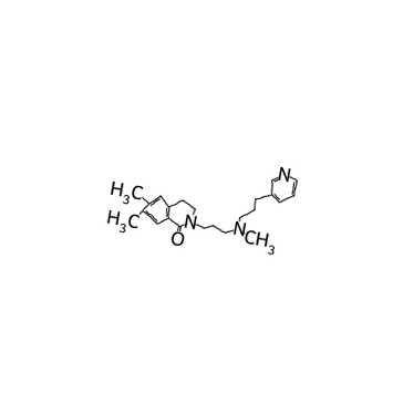 Cc1cc2c(cc1C)C(=O)N(CCCN(C)CCCc1cccnc1)CC2